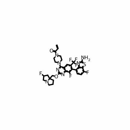 C=CC(=O)N1CCN(c2nc(OCC34CCCN3CC(F)C4)nc3c(F)c(-c4ccc(F)c5sc(N)nc45)c(C(F)(F)F)cc23)CC1